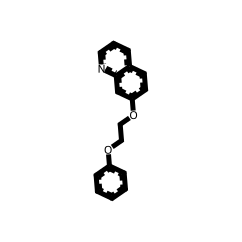 c1ccc(OCCOc2ccc3cccnc3c2)cc1